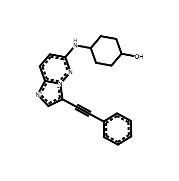 OC1CCC(Nc2ccc3ncc(C#Cc4ccccc4)n3n2)CC1